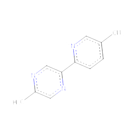 Cc1c[c]c(-c2cnc(C)cn2)nc1